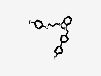 Fc1ccc(OCCCN2CN(Cc3ccc(-c4ccc(F)cc4)cc3)c3ccccc32)cc1